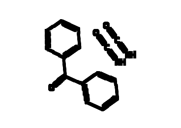 N=C=O.N=C=O.O=C(c1ccccc1)c1ccccc1